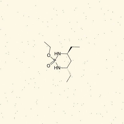 CCOP1(=O)N[C@@H](CC)C[C@H](CC)N1